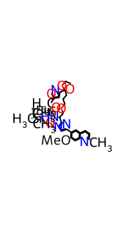 COc1cc2nc(C)ccc2cc1-c1cn(COCC[Si](C)(C)C)c(C(COCCCC2(c3cc(C)on3)OCCO2)N[S@+]([O-])C(C)(C)C)n1